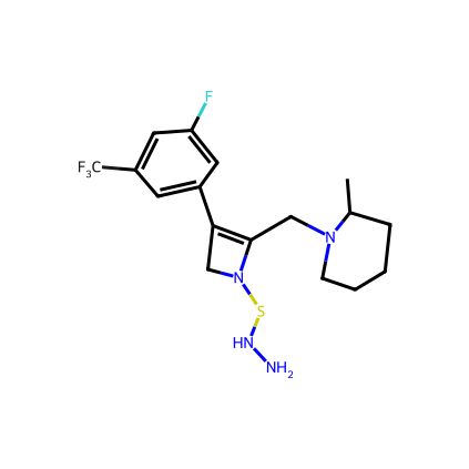 CC1CCCCN1CC1=C(c2cc(F)cc(C(F)(F)F)c2)CN1SNN